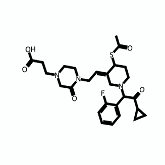 CC(=O)SC1CCN(C(C(=O)C2CC2)c2ccccc2F)C/C1=C\CN1CCN(CCC(=O)O)CC1=O